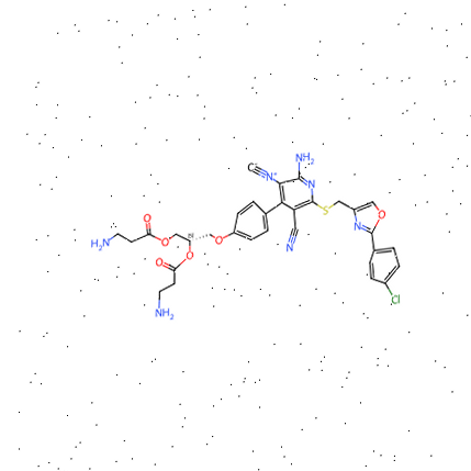 [C-]#[N+]c1c(N)nc(SCc2coc(-c3ccc(Cl)cc3)n2)c(C#N)c1-c1ccc(OC[C@@H](COC(=O)CCN)OC(=O)CCN)cc1